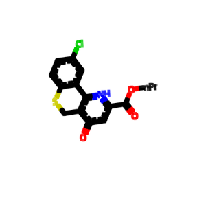 CCCOC(=O)c1cc(=O)c2c([nH]1)-c1cc(Cl)ccc1SC2